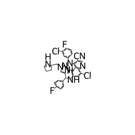 N#Cc1cnc2c(Cl)cc(NC(c3ccc(F)cc3)c3cn(CC4CCCN4)nn3)cc2c1Nc1ccc(F)c(Cl)c1